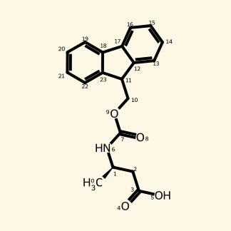 C[C@H](CC(=O)O)NC(=O)OCC1c2ccccc2-c2ccccc21